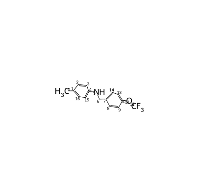 Cc1ccc(NCc2ccc(OC(F)(F)F)cc2)cc1